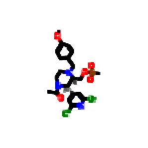 COc1ccc(CN2CCN(C(C)=O)[C@@H](c3cc(Cl)nc(Br)c3)[C@@H]2COS(C)(=O)=O)cc1